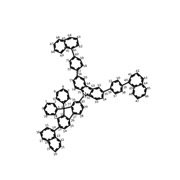 c1ccc(C2(c3ccccc3)c3cc(-c4cccc5ccccc45)ccc3-c3ccc(-n4c5ccc(-c6ccc(-c7cccc8ccccc78)cc6)cc5c5cc(-c6ccc(-c7cccc8ccccc78)cc6)ccc54)cc32)cc1